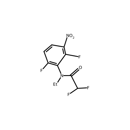 CCN(C(=O)C(F)F)c1c(F)ccc([N+](=O)[O-])c1F